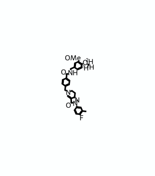 [2H]C([2H])([2H])Oc1ccc(CNC(=O)c2ccc(CN3C=C4C(=O)N(c5ccc(F)c(C)c5)N=C4CC3)cc2)cc1OC